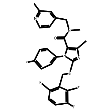 Cc1cc(CN(C)C(=O)c2c(C)nc(SCc3c(F)ccc(F)c3F)n2-c2ccc(F)cc2)ccn1